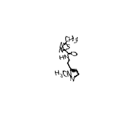 Cc1nnc(C(=O)NCCc2ccnn2C)s1